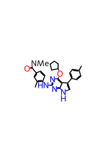 CNC(=O)c1ccc(Nc2nc(OC3CCCC3)c3c(-c4ccc(C)cc4)c[nH]c3n2)c(C)c1